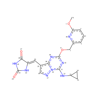 COc1cccc(COc2nc(NC3CC3)n3ncc(/C=C4\NC(=O)NC4=O)c3n2)n1